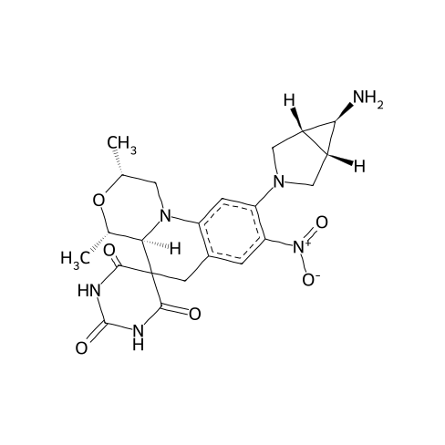 C[C@@H]1CN2c3cc(N4C[C@@H]5[C@@H](N)[C@@H]5C4)c([N+](=O)[O-])cc3CC3(C(=O)NC(=O)NC3=O)[C@H]2[C@H](C)O1